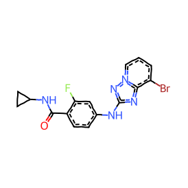 O=C(NC1CC1)c1ccc(Nc2nc3c(Br)cccn3n2)cc1F